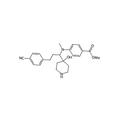 COC(=O)c1ccc(N(C)C(CCc2ccc(C#N)cc2)C2(O)CCNCC2)cc1